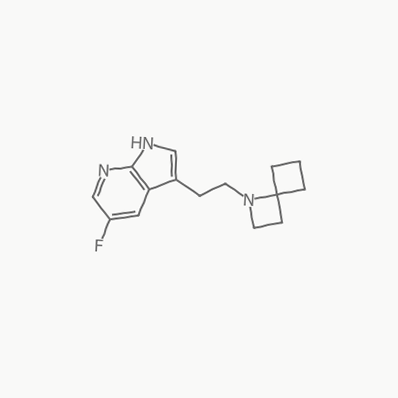 Fc1cnc2[nH]cc(CCN3CCC34CCC4)c2c1